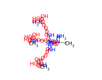 CCCCCCCNC(=O)C(CCCCN)NC(=O)C(CCCCNC(=O)COCCOCCOCCO[C@@H]1O[C@H](CO)[C@H](O)[C@H](O)[C@H]1NC(C)=O)NC(=O)C(CCCCNC(=O)COCCOCCOCCO[C@@H]1O[C@H](CO)[C@H](O)[C@H](O)[C@H]1N)NC(=O)COCCOCCOCCO[C@@H]1O[C@H](CO)[C@H](O)[C@H](O)[C@H]1NC(C)=O